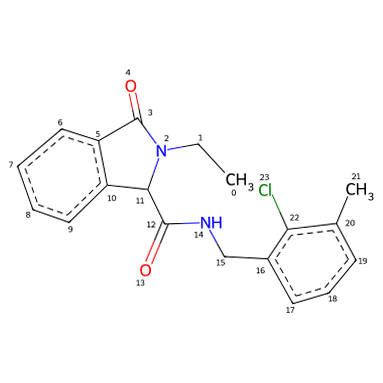 CCN1C(=O)c2ccccc2C1C(=O)NCc1cccc(C)c1Cl